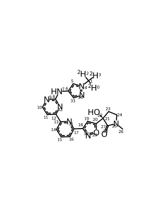 [2H]C([2H])([2H])n1cc(Nc2nccc(-c3cccc(-c4cc([C@]5(O)CCN(C)C5=O)on4)n3)n2)cn1